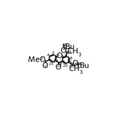 COC(=O)c1ccc2oc3c(C(C)OC(C)(C)C)cc(C(C)OC(C)(C)C)cc3c(=O)c2c1